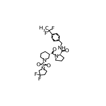 CC(F)(F)c1ccc(CNC(=O)[C@H]2CCCN2C(=O)[C@H]2CCCN(S(=O)(=O)N3CCC(F)(F)C3)C2)cc1